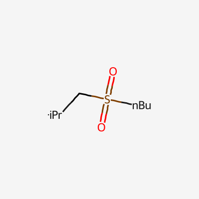 CCCCS(=O)(=O)C[C](C)C